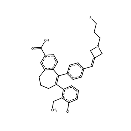 CCc1c(Cl)cccc1C1=C(c2ccc(C=C3CN(CCCF)C3)cc2)c2ccc(C(=O)O)cc2CCC1